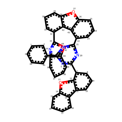 c1ccc(-c2nc(-c3cccc4c3oc3ccccc34)nc(-c3cccc4oc5cccc(-c6nc7ccccc7o6)c5c34)n2)cc1